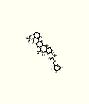 CN(c1ccccc1-c1ccc2c(c1)Nc1ccc(NC(=O)CCc3ccccn3)cc1NC2=O)S(C)(=O)=O